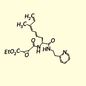 C=C/C(C)=C\C=C\C[C@H](NC(=O)C1OC1C(=O)OCC)C(=O)NCCc1ccccn1